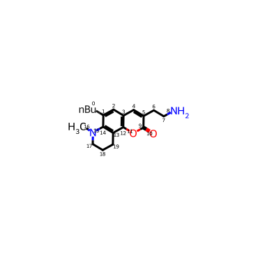 CCCCc1cc2cc(CCN)c(=O)oc2c2c1N(C)CCC2